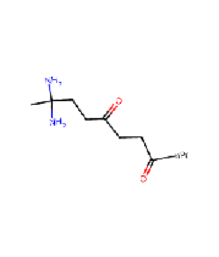 CCCC(=O)CCC(=O)CCC(C)(N)N